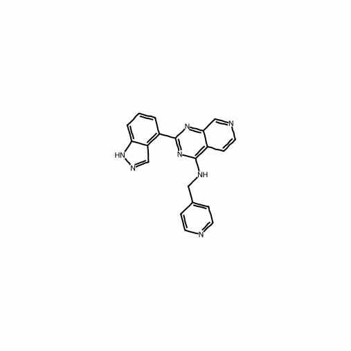 c1cc(-c2nc(NCc3ccncc3)c3ccncc3n2)c2cn[nH]c2c1